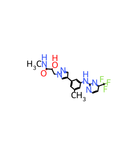 CNC(=O)C(O)Cn1cc(-c2cc(C)cc(Nc3nccc(C(F)(F)F)n3)c2)cn1